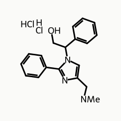 CNCc1cn(C(CO)c2ccccc2)c(-c2ccccc2)n1.Cl.Cl